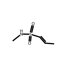 C/C=C/S(=O)(=O)NC